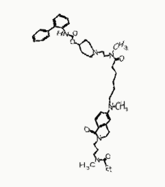 CCC(=O)N(C)CCCN1CCc2cc(N(C)CCCCCC(=O)N(C)CCN3CCC(OC(=O)Nc4ccccc4-c4ccccc4)CC3)ccc2C1=O